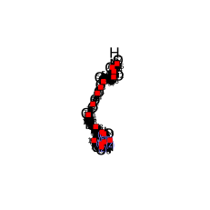 CC1=C\C2=C/C=N\N(C)\C(=C\C=N\1)OCCC[C@@H](C)CN1/C(=N/C2=O)N(C)c2ccc(CN3CCN(C(=O)CCOCCOCCOCCOCC(=O)N(C)c4cccc5c4CN(C4CCC(=O)NC4=O)C5=O)CC3)cc21